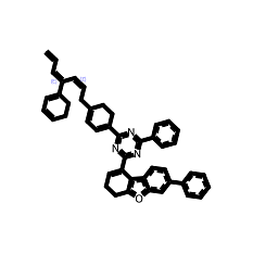 C=C/C=C(\C=C/CC1=CC=C(c2nc(C3=CCCc4oc5cc(-c6ccccc6)ccc5c43)nc(-c3ccccc3)n2)CC1)C1=CC=CCC1